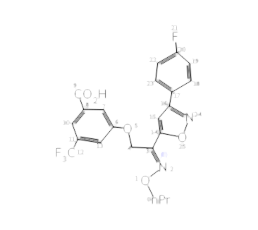 CCCO/N=C(\COc1cc(C(=O)O)cc(C(F)(F)F)c1)c1cc(-c2ccc(F)cc2)no1